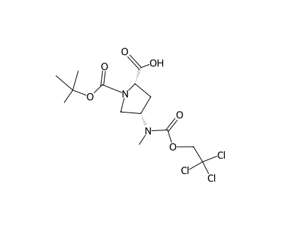 CN(C(=O)OCC(Cl)(Cl)Cl)[C@H]1C[C@@H](C(=O)O)N(C(=O)OC(C)(C)C)C1